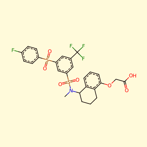 CN(C1CCCc2c(OCC(=O)O)cccc21)S(=O)(=O)c1cc(C(F)(F)F)cc(S(=O)(=O)c2ccc(F)cc2)c1